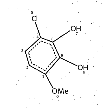 COc1ccc(Cl)c(O)c1O